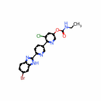 CCNC(=O)Oc1cnc(-c2ccc(-c3nc4ccc(Br)cc4[nH]3)nc2)c(Cl)c1